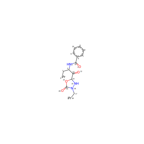 CC(C)CC(NC(=O)c1ccccc1)C(=O)C1NN(CC(C)C)C(=O)O1